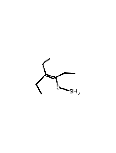 CCC(CC)=C(CC)O[SiH3]